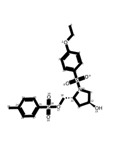 CCOc1ccc(S(=O)(=O)N2C[C@@H](O)C[C@@H]2COS(=O)(=O)c2ccc(C)cc2)cc1